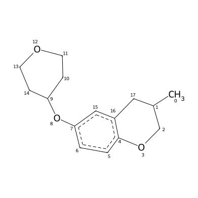 CC1COc2ccc(OC3CCOCC3)cc2C1